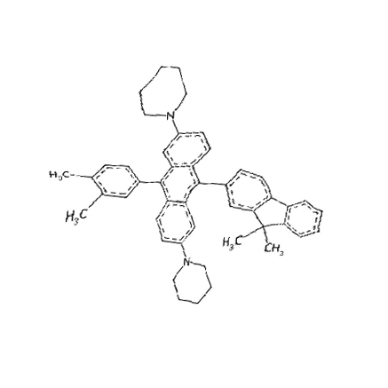 Cc1ccc(-c2c3ccc(N4CCCCC4)cc3c(-c3ccc4c(c3)C(C)(C)c3ccccc3-4)c3ccc(N4CCCCC4)cc23)cc1C